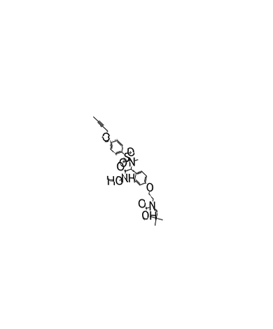 CC#CCOc1ccc(S(=O)(=O)N(C)C(C(=O)NO)c2ccc(OCCN(CC(C)(C)C)C(=O)O)cc2)cc1